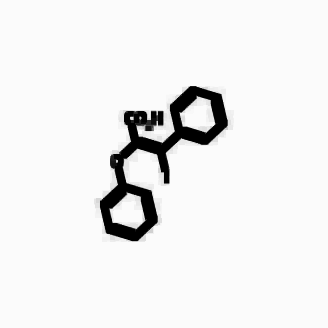 O=C(O)C(Oc1ccccc1)=C(I)c1ccccc1